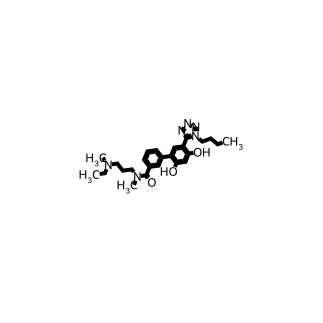 CCCCn1nnnc1-c1cc(-c2cccc(C(=O)N(C)CCCN(C)CC)c2)c(O)cc1O